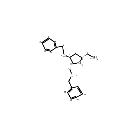 NC[C@H]1C[C@H](OCc2ccccc2)[C@@H](COCc2ccccc2)O1